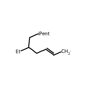 [CH2]C=CCC(CC)CC(C)CC[CH2]